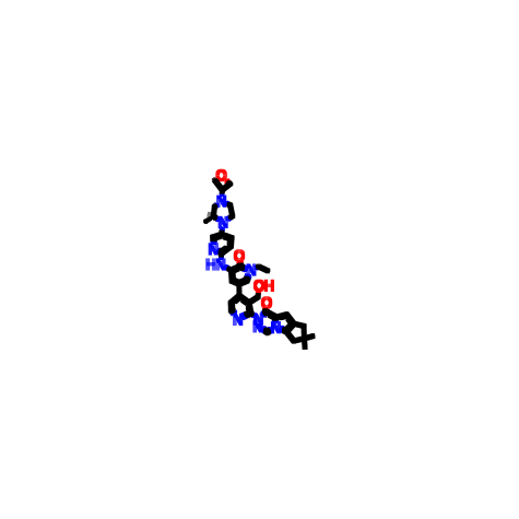 CCn1cc(-c2ccnc(-n3ncn4c5c(cc4c3=O)CC(C)(C)C5)c2CO)cc(Nc2ccc(N3CCN(C4COC4)C[C@@H]3C)cn2)c1=O